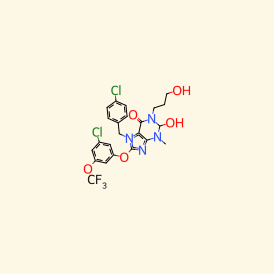 CN1c2nc(Oc3cc(Cl)cc(OC(F)(F)F)c3)n(Cc3ccc(Cl)cc3)c2C(=O)N(CCCO)C1O